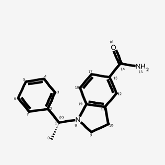 C[C@H](c1ccccc1)N1CCc2cc(C(N)=O)ccc21